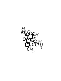 CCCC(CC)N(C(=O)C1CCC(C)CC1)C1=C(C(=O)O)SC(C(C)(C)C)C1